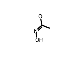 C/C([O])=N\O